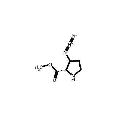 COC(=O)[C@H]1NCCC1N=[N+]=[N-]